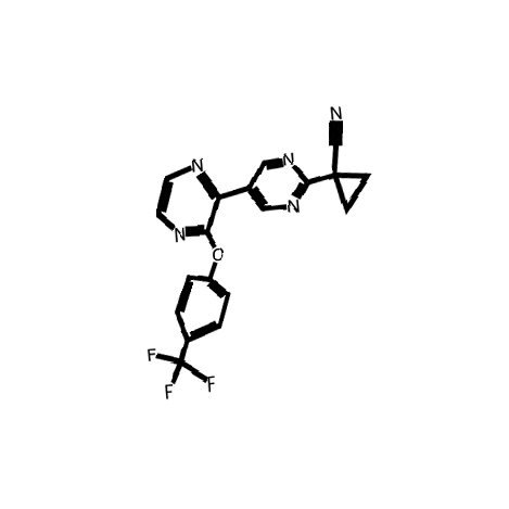 N#CC1(c2ncc(-c3nccnc3Oc3ccc(C(F)(F)F)cc3)cn2)CC1